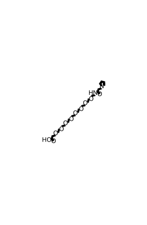 O=C(O)CCOCCOCCOCCOCCOCCOCCOCCOCCNC(=O)CCn1cccc1